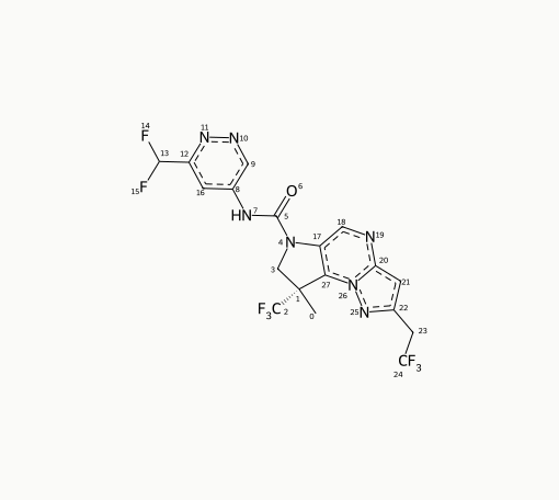 C[C@@]1(C(F)(F)F)CN(C(=O)Nc2cnnc(C(F)F)c2)c2cnc3cc(CC(F)(F)F)nn3c21